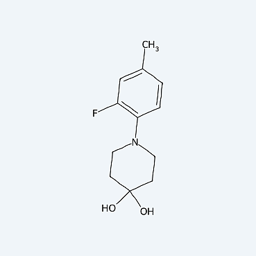 Cc1ccc(N2CCC(O)(O)CC2)c(F)c1